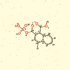 COC(=O)c1c(C(=O)OS(=O)(=O)O)cc(C)c2ccccc12